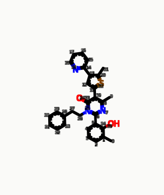 Cc1cccc(-c2nc(C)c(-c3cc(-c4ccccn4)c(C)s3)c(=O)n2CCc2ccccc2)c1O